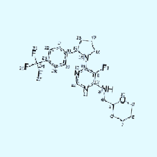 Fc1c(NCC2CCCCO2)ncnc1N1CCCC1c1ccc(C(F)(F)F)cc1